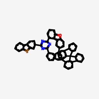 c1ccc(-c2nc(-c3ccc4c(c3)sc3ccccc34)nc(-c3cccc4oc5ccc(-c6cccc(-c7cccc8c7C7(c9ccccc9-c9ccccc97)c7ccccc7-8)c6)cc5c34)n2)cc1